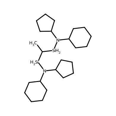 CC([SiH2]N(C1CCCCC1)C1CCCC1)[SiH2]N(C1CCCCC1)C1CCCC1